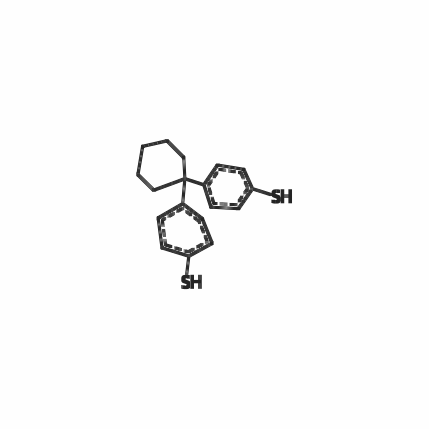 Sc1ccc(C2(c3ccc(S)cc3)CCCCC2)cc1